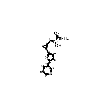 NC(=O)N(O)CC1CC1c1ccc(-c2cccnc2)o1